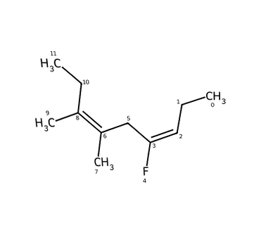 CC/C=C(/F)C/C(C)=C(/C)CC